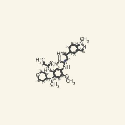 C=CC(=O)Nc1cc(N/C(=C/C(=N)c2ccc3c(cnn3C)c2)NN)c(OC)cc1N(C)C1CCOCC1